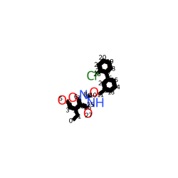 CCc1cc(=O)oc2nc(OCc3cccc(-c4ccccc4Cl)c3)[nH]c(=O)c12